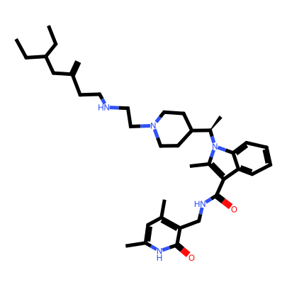 C=C(CCNCCN1CCC([C@@H](C)n2c(C)c(C(=O)NCc3c(C)cc(C)[nH]c3=O)c3ccccc32)CC1)CC(CC)CC